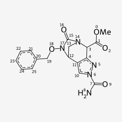 COC(=O)C1c2nn(C(N)=O)cc2C2CN1C(=O)N2OCc1ccccc1